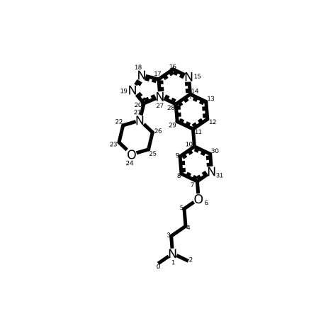 CN(C)CCCOc1ccc(-c2ccc3ncc4nnc(N5CCOCC5)n4c3c2)cn1